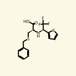 O=C(O)[C@H](CSCc1ccccc1)N[C@H](c1cccs1)C(F)(F)F